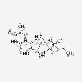 CCOP(=O)(OCC)C(F)(F)C[C@H]1OC(n2cc(C)c(=O)[nH]c2=O)[C@@H](O)[C@@H]1O